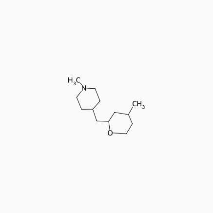 CC1CCOC(CC2CCN(C)CC2)C1